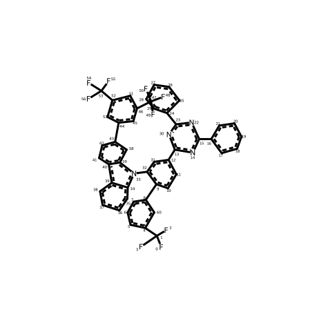 FC(F)(F)c1cccc(-c2ccc(-c3nc(-c4ccccc4)nc(-c4ccccc4)n3)cc2-n2c3ccccc3c3ccc(-c4cc(C(F)(F)F)cc(C(F)(F)F)c4)cc32)c1